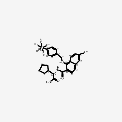 O=C(N[C@H](C(=O)O)C1CCCC1)c1ccc2cc(F)ccc2c1OCc1ccc(S(F)(F)(F)(F)F)cc1